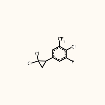 Fc1cc(C2CC2(Cl)Cl)cc(C(F)(F)F)c1Cl